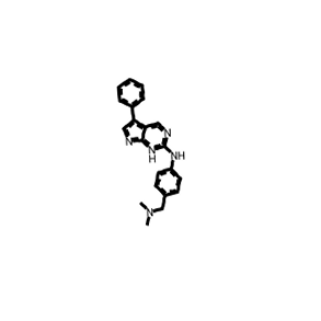 CN(C)Cc1ccc(Nc2ncc3c(-c4ccccc4)cnc-3[nH]2)cc1